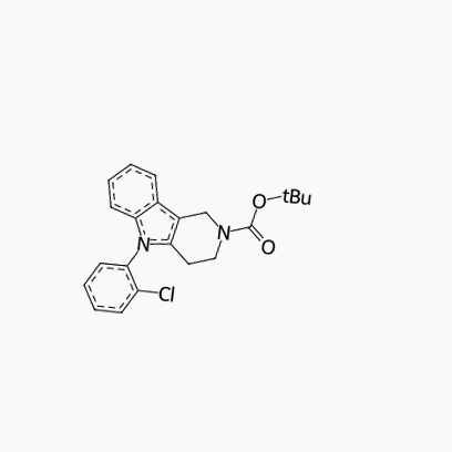 CC(C)(C)OC(=O)N1CCc2c(c3ccccc3n2-c2ccccc2Cl)C1